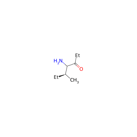 CCC(=O)C(N)[C@@H](C)CC